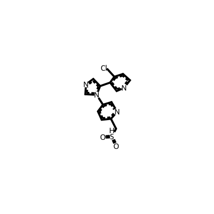 O=[SH](=O)Cc1ccc(-n2cncc2-c2cnccc2Cl)cn1